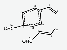 C/C=C/C=O.C=Cc1ccc(C=O)cc1